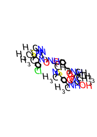 Cc1ncsc1-c1ccc([C@H](C)NC(=O)[C@@H]2C[C@@H](O)CN2C(=O)[C@@H](NC(=O)/C=C/c2cccc(O[C@@H](C)CNC(=O)C[C@@H]3N=C(c4ccc(Cl)cc4)c4c(sc(C)c4C)-n4c(C)nnc43)c2)C(C)(C)C)cc1